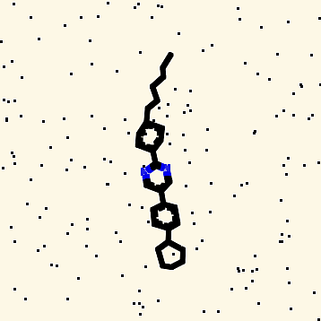 CCCCCCc1ccc(-c2ncc(-c3ccc(C4CCCCC4)cc3)cn2)cc1